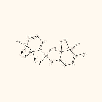 CCC1=CC=C(OC(F)(F)C2=CC=CC(F)(F)C2(F)F)C(F)(F)C1(F)F